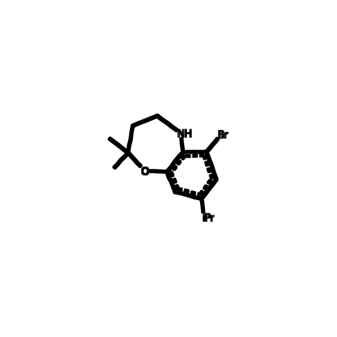 CC(C)c1cc(Br)c2c(c1)OC(C)(C)CCN2